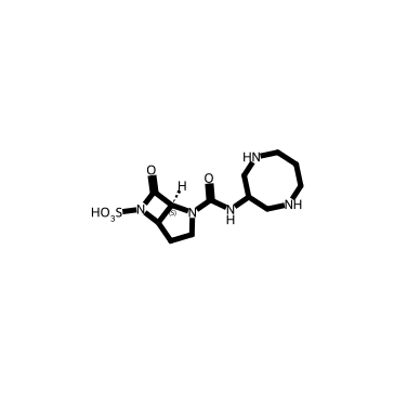 O=C(NC1CNCCCNC1)N1CCC2[C@H]1C(=O)N2S(=O)(=O)O